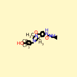 C[C@@H]1CN(Cc2ccc(C(O)(C(F)(F)F)C(F)(F)F)cc2)C[C@H](C)N1C(=O)c1ccc(NC(=O)NCC2CC2)cc1